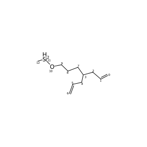 C=CCC(CC=C)CCCO[SiH2]C